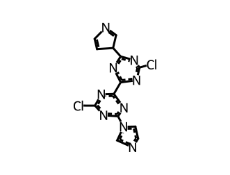 Clc1nc(-c2nc(Cl)nc(-n3ccnc3)n2)nc(C2C=CN=C2)n1